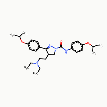 CCN(CC)CCC1CN(C(=O)Nc2ccc(OC(C)C)cc2)N=C1c1ccc(OC(C)C)cc1